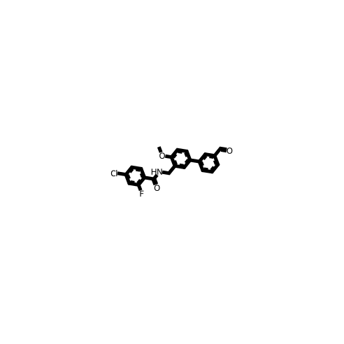 COc1ccc(-c2cccc(C=O)c2)cc1CNC(=O)c1ccc(Cl)cc1F